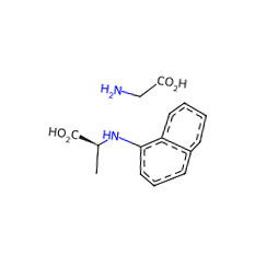 C[C@H](Nc1cccc2ccccc12)C(=O)O.NCC(=O)O